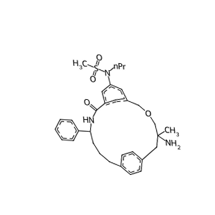 CCCN(c1cc2cc(c1)C(=O)NC(c1ccccc1)CCCc1ccc(cc1)CC(C)(N)COC2)S(C)(=O)=O